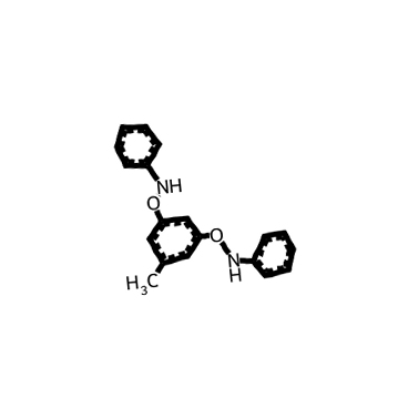 Cc1cc(ONc2ccccc2)cc(ONc2ccccc2)c1